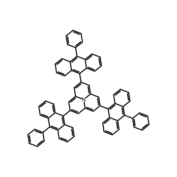 C1=C(c2c3ccccc3c(-c3ccccc3)c3ccccc23)C=C2C=C(c3c4ccccc4c(-c4ccccc4)c4ccccc34)C=C3C=C(c4c5ccccc5c(-c5ccccc5)c5ccccc45)C=C1N23